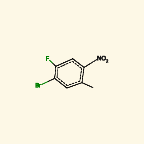 Cc1cc(Br)c(F)cc1[N+](=O)[O-]